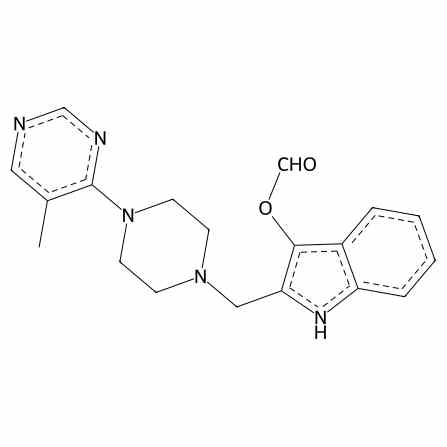 Cc1cncnc1N1CCN(Cc2[nH]c3ccccc3c2OC=O)CC1